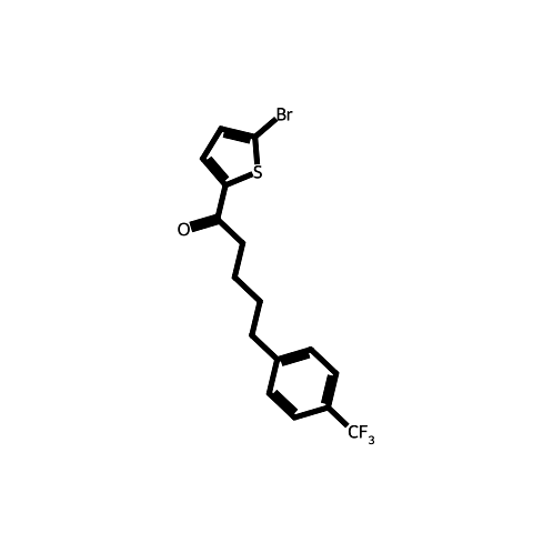 O=C(CCCCc1ccc(C(F)(F)F)cc1)c1ccc(Br)s1